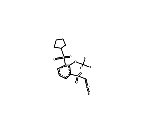 [N-]=[N+]=CS(=O)(=O)c1cccc(S(=O)(=O)C2CCCC2)c1OC(F)(F)F